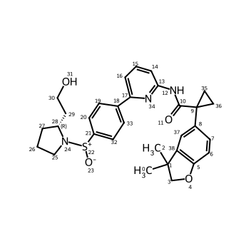 CC1(C)COc2ccc(C3(C(=O)Nc4cccc(-c5ccc([S+]([O-])N6CCC[C@@H]6CCO)cc5)n4)CC3)cc21